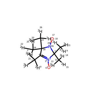 [2H]C([2H])([2H])C1=[N+]([O-])C(C([2H])([2H])[2H])(C([2H])([2H])[2H])N([O])C1(C([2H])([2H])[2H])C([2H])([2H])[2H]